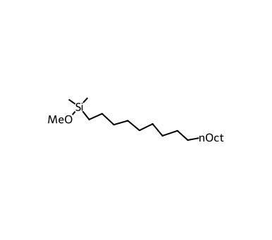 CCCCCCCCCCCCCCCCC[Si](C)(C)OC